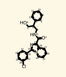 O=C(NCC(CO)c1ccccc1)c1nc(-c2cccc(Cl)c2)n2ccccc12